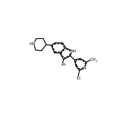 CCc1cc(-c2[nH]c3ccc(C4CCNCC4)cc3c2C(C)C)cc(C)n1